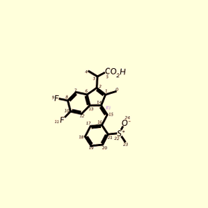 CC1=C(C(C)C(=O)O)c2cc(F)c(F)cc2/C1=C\c1ccccc1[S+](C)[O-]